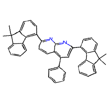 CC1(C)c2ccccc2-c2c(-c3ccc4c(-c5ccccc5)cc(-c5cccc6c5-c5ccccc5C6(C)C)nc4n3)cccc21